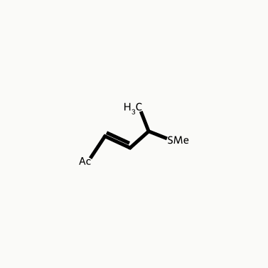 CSC(C)C=CC(C)=O